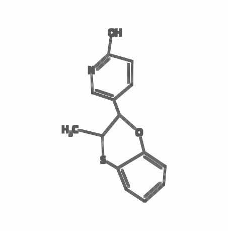 CC1Sc2ccccc2OC1c1ccc(O)nc1